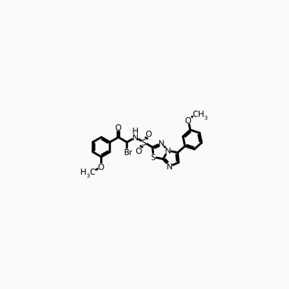 COc1cccc(C(=O)C(Br)NS(=O)(=O)c2nn3c(-c4cccc(OC)c4)cnc3s2)c1